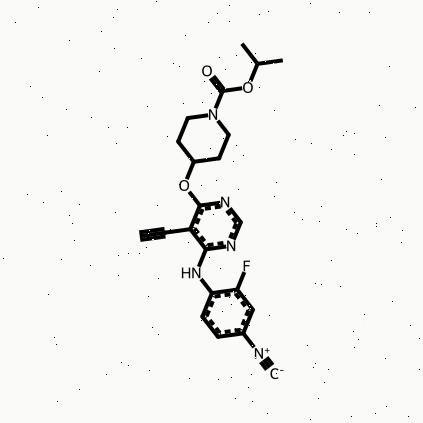 [C-]#[N+]c1ccc(Nc2ncnc(OC3CCN(C(=O)OC(C)C)CC3)c2C#C)c(F)c1